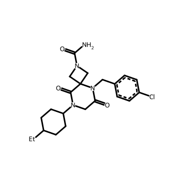 CCC1CCC(N2CC(=O)N(Cc3ccc(Cl)cc3)C3(CN(C(N)=O)C3)C2=O)CC1